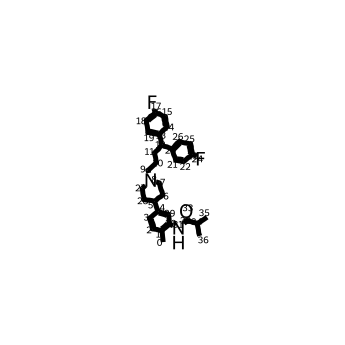 Cc1ccc(C2CCN(CCCC(c3ccc(F)cc3)c3ccc(F)cc3)CC2)cc1NC(=O)C(C)C